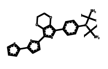 BC(I)(I)N(c1ccc(-c2sc(-c3ccc(-c4cccs4)s3)c3c2OCCO3)cc1)C(B)(I)I